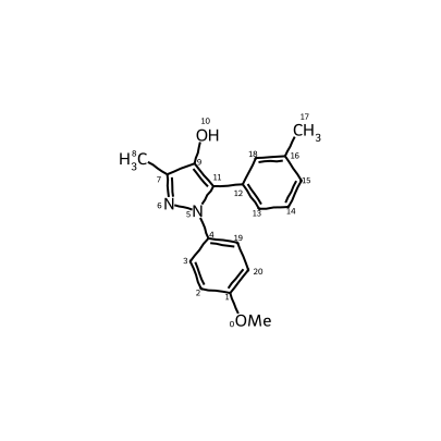 COc1ccc(-n2nc(C)c(O)c2-c2cccc(C)c2)cc1